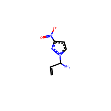 C=CC(N)n1ccc([N+](=O)[O-])n1